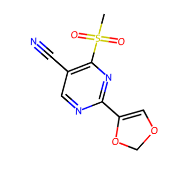 CS(=O)(=O)c1nc(C2=COCO2)ncc1C#N